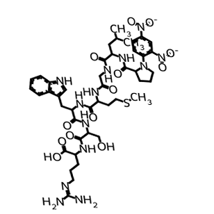 CSCCC(NC(=O)CNC(=O)C(CC(C)C)NC(=O)C1CCCN1c1ccc([N+](=O)[O-])cc1[N+](=O)[O-])C(=O)NC(Cc1c[nH]c2ccccc12)C(=O)NC(CO)C(=O)NC(CCCN=C(N)N)C(=O)O